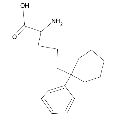 NC(CCCC1(c2ccccc2)CCCCC1)C(=O)O